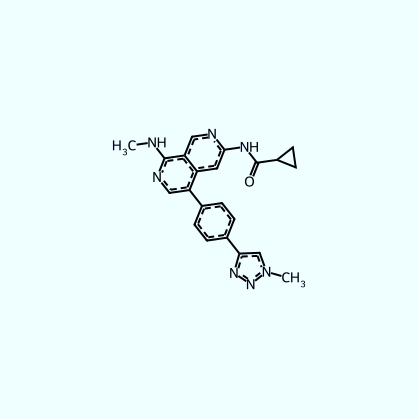 CNc1ncc(-c2ccc(-c3cn(C)nn3)cc2)c2cc(NC(=O)C3CC3)ncc12